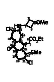 CCOC(=O)Cn1c2nc(NC3CC(OC)C3)c(Cl)cc2c(=O)c2ccc(Cl)c(SC)c21